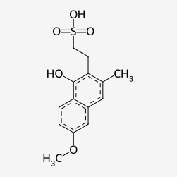 COc1ccc2c(O)c(CCS(=O)(=O)O)c(C)cc2c1